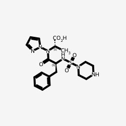 C[C@@H](C(=O)O)N(C(=O)[C@H](Cc1ccccc1)NS(=O)(=O)N1CCNCC1)n1cccn1